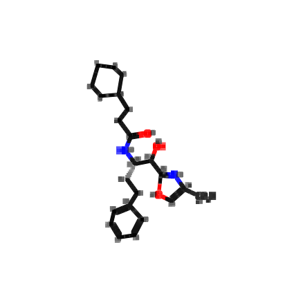 O=C(CCC1CCCCC1)N[C@@H](CCc1ccccc1)C(O)c1nc(C(=O)O)co1